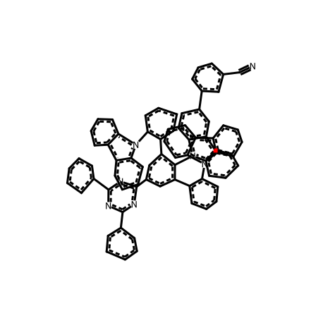 N#Cc1cccc(-c2ccc3c(c2)c2ccccc2n3-c2c(-c3ccccc3-n3c4ccccc4c4ccccc43)cc(-c3nc(-c4ccccc4)nc(-c4ccccc4)n3)cc2-c2ccccc2-n2c3ccccc3c3ccccc32)c1